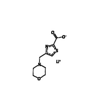 O=C([O-])c1nc(CN2CCOCC2)cs1.[Li+]